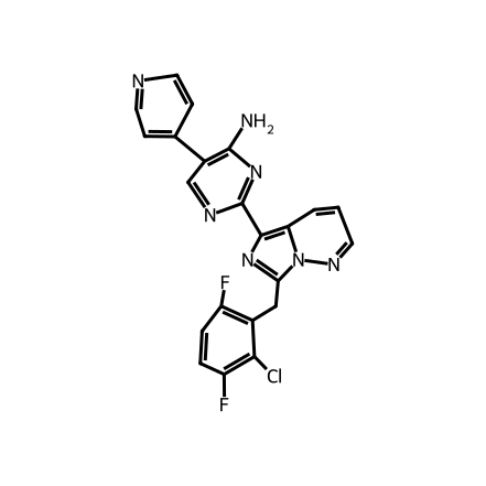 Nc1nc(-c2nc(Cc3c(F)ccc(F)c3Cl)n3ncccc23)ncc1-c1ccncc1